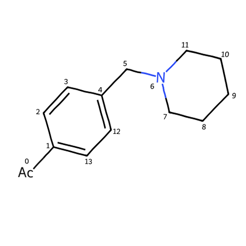 CC(=O)c1ccc(CN2CCCCC2)cc1